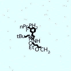 C=CC(=O)CC(CC)C(=O)Nc1cc(-c2cccc(C(F)(P)CCC)c2)n(CCC(C)(C)C)n1